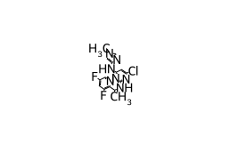 CC(Nc1nc(Cl)cc(Nc2cn(C)cn2)n1)c1ncc(F)cc1F